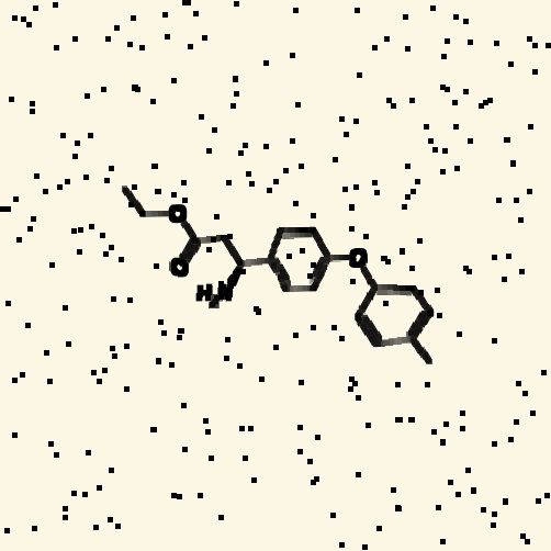 CCOC(=O)C[C@H](N)c1ccc(Oc2ccc(C)cc2)cc1